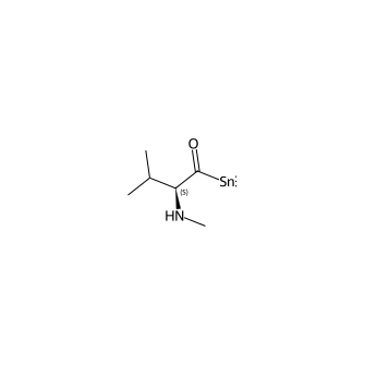 CN[C@H]([C](=O)[Sn])C(C)C